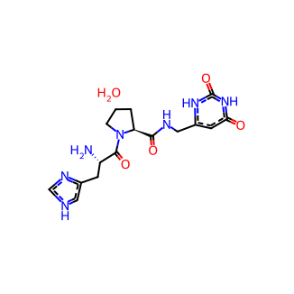 N[C@@H](Cc1c[nH]cn1)C(=O)N1CCC[C@H]1C(=O)NCc1cc(=O)[nH]c(=O)[nH]1.O